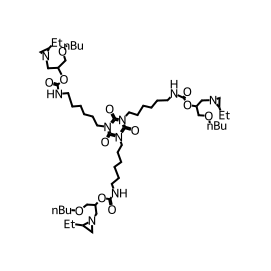 CCCCOCC(CN1CC1CC)OC(=O)NCCCCCCn1c(=O)n(CCCCCCNC(=O)OC(COCCCC)CN2CC2CC)c(=O)n(CCCCCCNC(=O)OC(COCCCC)CN2CC2CC)c1=O